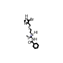 CS/C(=N\CCSCc1nc[nH]c1Br)NC(=O)c1ccccc1.I